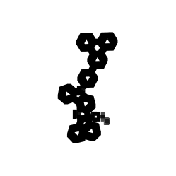 CC1(c2ccccc2)C(c2ccccc2)=Nc2c1ccc1c2c2ccccc2n1-c1ccc(-c2ccc3c4ccccc4c4ccccc4c3c2)cc1